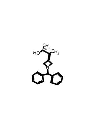 CC(=C1CN(C(c2ccccc2)c2ccccc2)C1)[C@H](C)O